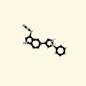 [N-]=[N+]=Nc1c[nH]c2ccc(-c3cnn(-c4ccccc4)c3)cc12